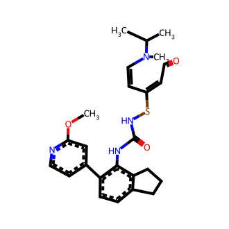 COc1cc(-c2ccc3c(c2NC(=O)NSC(/C=C\N(C)C(C)C)=C/C=O)CCC3)ccn1